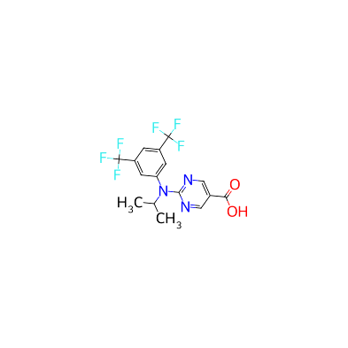 CC(C)N(c1cc(C(F)(F)F)cc(C(F)(F)F)c1)c1ncc(C(=O)O)cn1